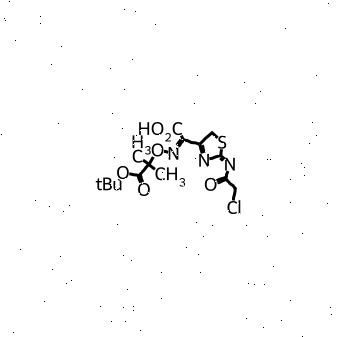 CC(C)(C)OC(=O)C(C)(C)ON=C(C(=O)O)C1=NC(=NC(=O)CCl)SC1